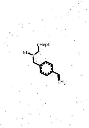 C=Cc1ccc(CN(CC)CCCCCCCC)cc1